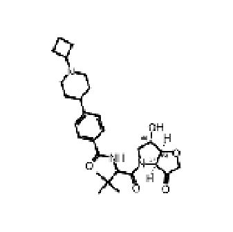 CC(C)(C)C(NC(=O)c1ccc(C2CCN(C3CCC3)CC2)cc1)C(=O)N1C[C@@H](O)[C@H]2OCC(=O)[C@H]21